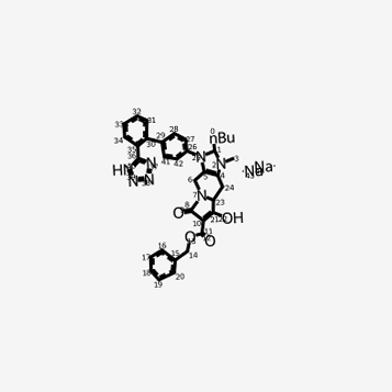 CCCCC1N(C)C2=C(CN3C(=O)C(C(=O)OCc4ccccc4)=C(O)C3C2)N1c1ccc(-c2ccccc2-c2nnn[nH]2)cc1.[Na].[Na]